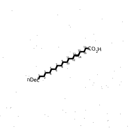 CCCCCCCCCCCCCCCCCCCCCCC=CCCCC(=O)O